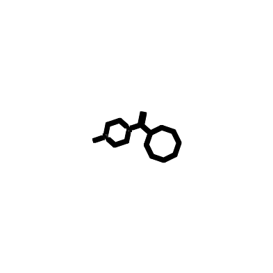 C=C(C1CCCCCCC1)N1CCN(C)CC1